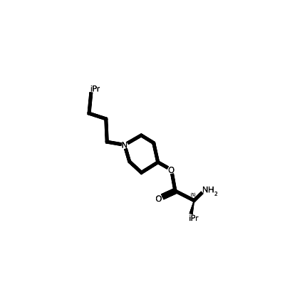 CC(C)CCCN1CCC(OC(=O)[C@@H](N)C(C)C)CC1